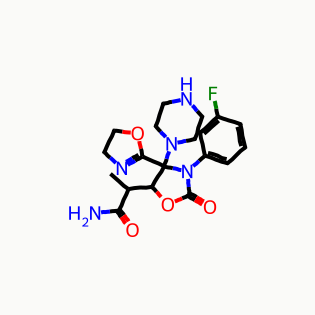 CC(C(N)=O)C1OC(=O)N(c2cccc(F)c2)C1(C1=NCCO1)N1CCNCC1